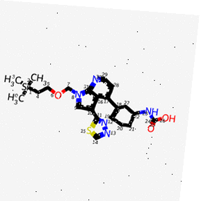 C[Si](C)(C)CCOCn1cc(-c2nncs2)c2c(C3=CCCC(NC(=O)O)C3)ccnc21